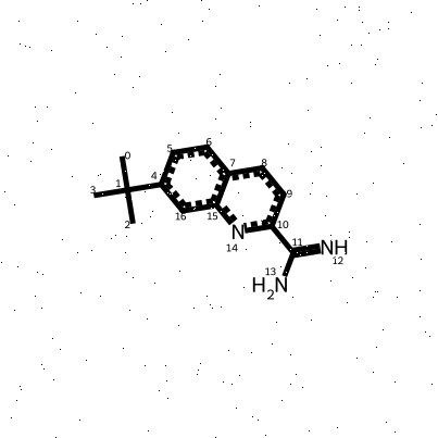 CC(C)(C)c1ccc2ccc(C(=N)N)nc2c1